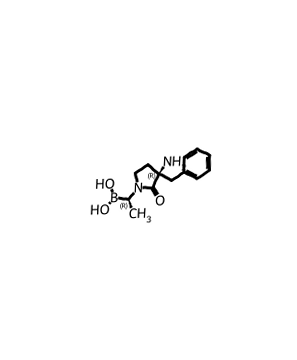 C[C@@H](B(O)O)N1CC[C@](N)(Cc2ccccc2)C1=O